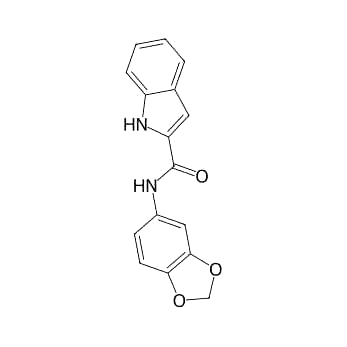 O=C(Nc1ccc2c(c1)OCO2)c1cc2ccccc2[nH]1